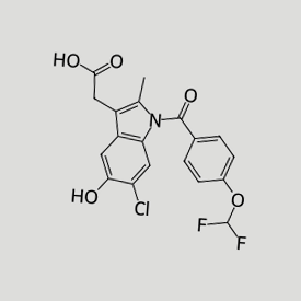 Cc1c(CC(=O)O)c2cc(O)c(Cl)cc2n1C(=O)c1ccc(OC(F)F)cc1